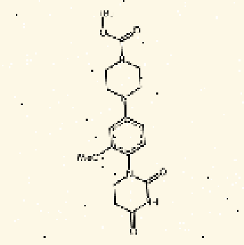 COc1cc(N2CCN(C(=O)OC(C)(C)C)CC2)ccc1N1CCC(=O)NC1=O